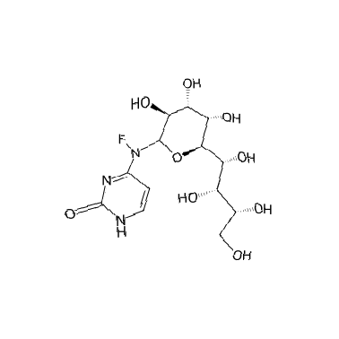 O=c1nc(N(F)C2O[C@H]([C@H](O)[C@@H](O)[C@H](O)CO)[C@@H](O)[C@@H](O)[C@@H]2O)cc[nH]1